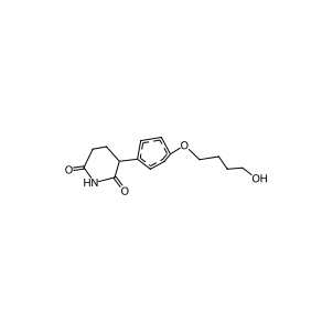 O=C1CCC(c2ccc(OCCCCO)cc2)C(=O)N1